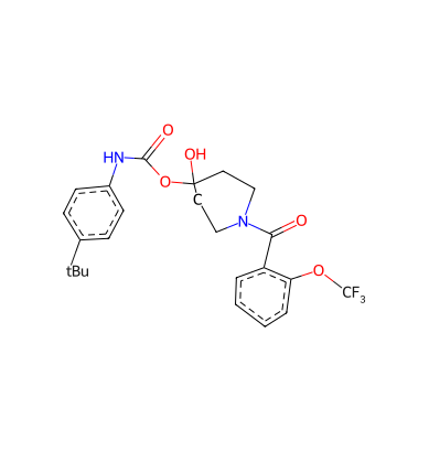 CC(C)(C)c1ccc(NC(=O)OC2(O)CCN(C(=O)c3ccccc3OC(F)(F)F)CC2)cc1